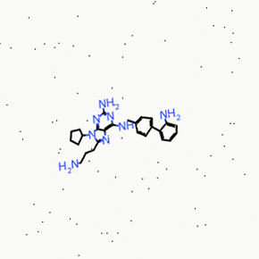 NCCCc1nc2c(NCc3ccc(-c4ccccc4N)cc3)nc(N)nc2n1C1CCCC1